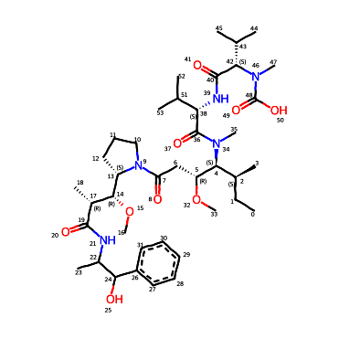 CC[C@H](C)[C@@H]([C@@H](CC(=O)N1CCC[C@H]1[C@H](OC)[C@@H](C)C(=O)NC(C)C(O)c1ccccc1)OC)N(C)C(=O)[C@@H](NC(=O)[C@H](C(C)C)N(C)C(=O)O)C(C)C